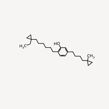 CCC1(CCCCCCc2ccc(CCCCC3(C)CC3)cc2O)CC1